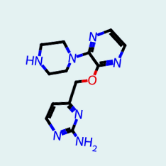 Nc1nccc(COc2nccnc2N2CCNCC2)n1